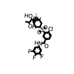 CC(O)C(O)[C@@]1(O)C2C[C@@H](S(=O)(=O)c3cc(C(=O)Nc4cc(F)c(F)c(F)c4)ccc3Cl)CC1[C@@H](C)C2